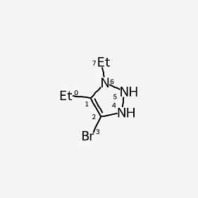 CCC1=C(Br)NNN1CC